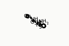 Nc1nc(SCC(=O)NCCN2CCOCC2)nc2sc3c(c12)CCCCC3